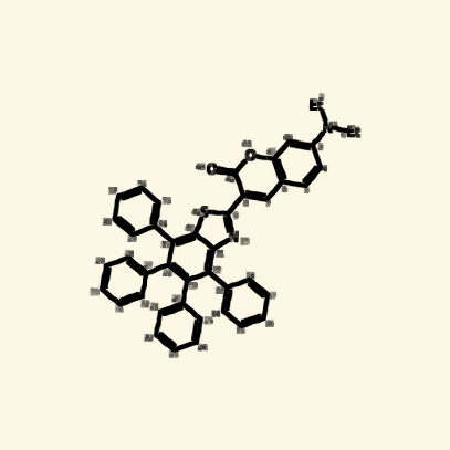 CCN(CC)c1ccc2cc(-c3nc4c(-c5ccccc5)c(-c5ccccc5)c(-c5ccccc5)c(-c5ccccc5)c4s3)c(=O)oc2c1